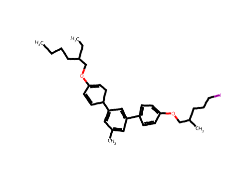 CCCCC(CC)COC1=CCC(c2cc(C)cc(-c3ccc(OCC(C)CCCI)cc3)c2)C=C1